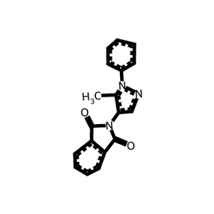 Cc1c(N2C(=O)c3ccccc3C2=O)cnn1-c1ccccc1